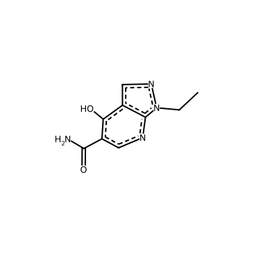 CCn1ncc2c(O)c(C(N)=O)cnc21